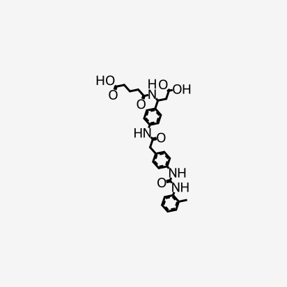 Cc1ccccc1NC(=O)Nc1ccc(CC(=O)Nc2ccc(C(CC(=O)O)NC(=O)CCCC(=O)O)cc2)cc1